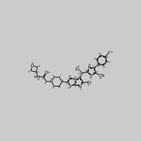 CCc1nc2sc(C3CCN(CC(=O)NC4COC4)CC3)cn2c1N(CC)c1nc(-c2ccc(F)cc2)c(C#N)s1